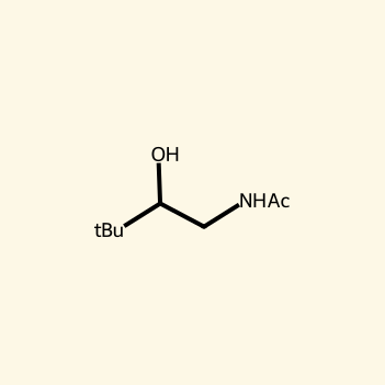 CC(=O)NCC(O)C(C)(C)C